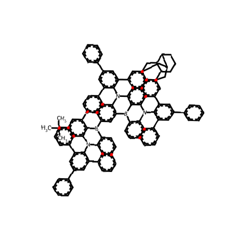 CC(C)(C)c1cc2c3c(c1)N(c1c(-c4ccccc4)cc(-c4ccccc4)cc1-c1ccccc1)c1ccccc1B3c1cc3c(cc1O2)N(c1c(-c2ccccc2)cc(-c2ccccc2)cc1-c1ccccc1)c1cc(N2C4CC5CC2C2CCCC5C2C4)cc2c1B3c1ccccc1N2c1c(-c2ccccc2)cc(-c2ccccc2)cc1-c1ccccc1